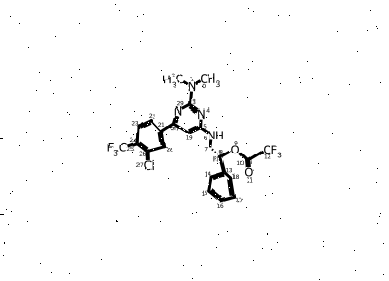 CN(C)c1nc(NC[C@H](OC(=O)C(F)(F)F)c2ccccc2)cc(-c2ccc(C(F)(F)F)c(Cl)c2)n1